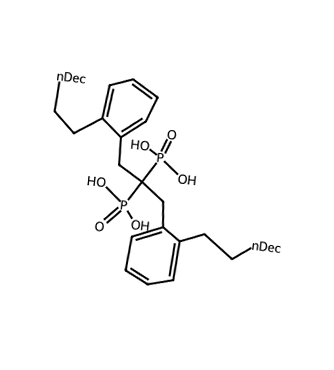 CCCCCCCCCCCCc1ccccc1CC(Cc1ccccc1CCCCCCCCCCCC)(P(=O)(O)O)P(=O)(O)O